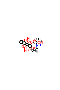 CCCN[C@H]1C[C@H](O[C@H]2C[C@](O)(C(C)=O)Cc3c(O)c4c(c(O)c32)C(=O)c2ccccc2C4=O)O[C@@H](C)[C@H]1O